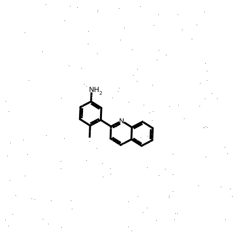 Cc1ccc(N)cc1-c1ccc2ccccc2n1